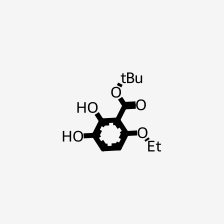 CCOc1ccc(O)c(O)c1C(=O)OC(C)(C)C